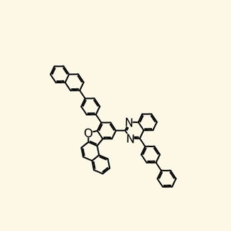 c1ccc(-c2ccc(-c3nc(-c4cc(-c5ccc(-c6ccc7ccccc7c6)cc5)c5oc6ccc7ccccc7c6c5c4)nc4ccccc34)cc2)cc1